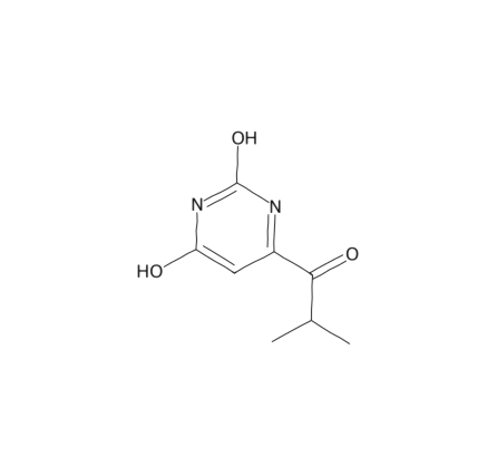 CC(C)C(=O)c1cc(O)nc(O)n1